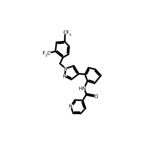 O=C(Nc1ccccc1-c1cnn(Cc2ccc(C(F)(F)F)cc2C(F)(F)F)c1)c1cccnc1